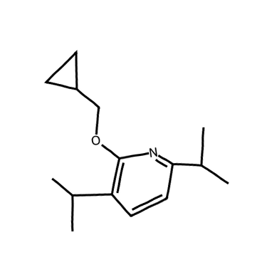 CC(C)c1ccc(C(C)C)c(OCC2CC2)n1